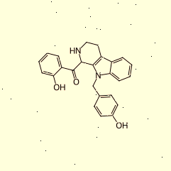 O=C(c1ccccc1O)C1NCCc2c1n(Cc1ccc(O)cc1)c1ccccc21